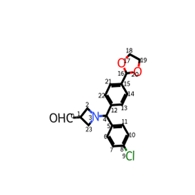 O=CC1CN(C(c2ccc(Cl)cc2)c2ccc(C3OCCO3)cc2)C1